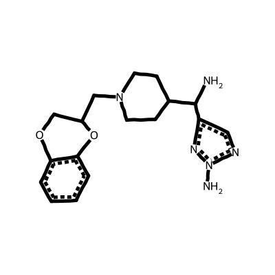 NC(c1cnn(N)n1)C1CCN(CC2COc3ccccc3O2)CC1